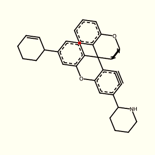 c1c(C2CCCCN2)cc2c(c#1)C1(C3=CCCC=C3Oc3ccccc31)c1ccc(C3C=CCCC3)cc1O2